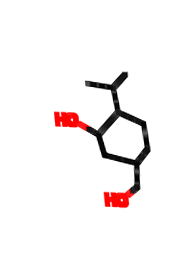 CC(C)C1CCC(CO)CC1O